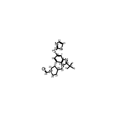 CC(C)(C)c1nc2cc(Sc3nccs3)ccc2n1CC1CCN(C=O)CC1